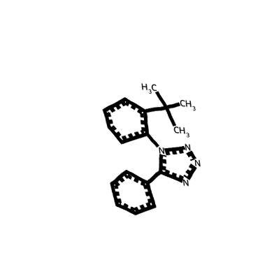 CC(C)(C)c1ccccc1-n1nnnc1-c1ccccc1